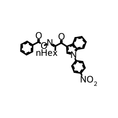 CCCCCC/C(=N\OC(=O)c1ccccc1)C(=O)c1cn(-c2ccc([N+](=O)[O-])cc2)c2ccccc12